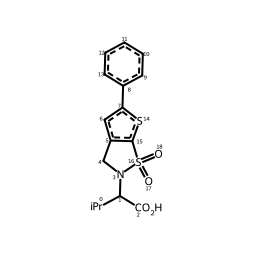 CC(C)C(C(=O)O)N1Cc2cc(-c3ccccc3)sc2S1(=O)=O